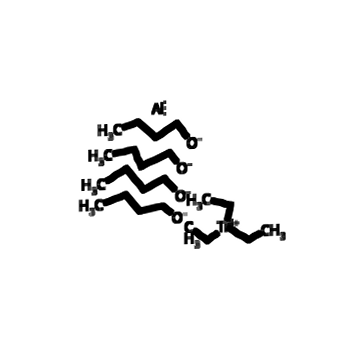 CCCC[O-].CCCC[O-].CCCC[O-].CCCC[O-].C[CH2][Ti+4]([CH2]C)[CH2]C.[Al]